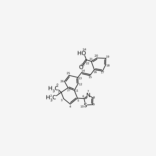 CC1(C)CC=C(c2nccs2)c2cc(C=Cc3ccccc3C(=O)O)ccc21